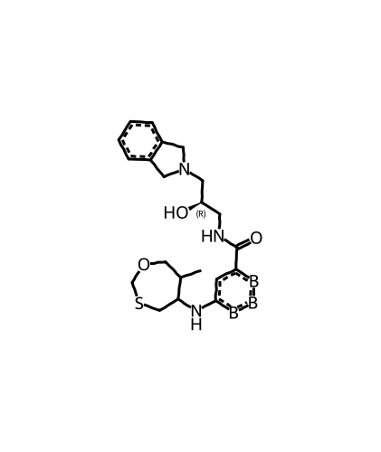 CC1COCSCC1Nc1bbbc(C(=O)NC[C@@H](O)CN2Cc3ccccc3C2)c1